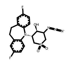 [N-]=[N+]=NC1CS(=O)(=O)C[C@H](N2c3ccc(F)cc3CCc3cc(F)ccc32)[C@H]1O